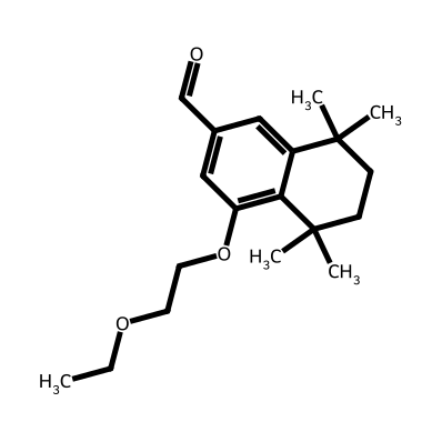 CCOCCOc1cc(C=O)cc2c1C(C)(C)CCC2(C)C